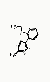 CCOc1[c]cccc1-c1ccc(C)nc1